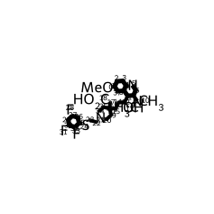 COc1ccc2ncc(N(C)C)c([C@@H](O)CCC3(CC(=O)O)CCN(CCSc4cc(F)cc(F)c4F)CC3)c2c1